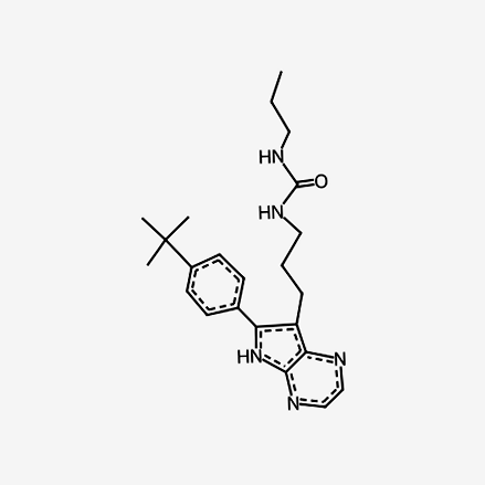 CCCNC(=O)NCCCc1c(-c2ccc(C(C)(C)C)cc2)[nH]c2nccnc12